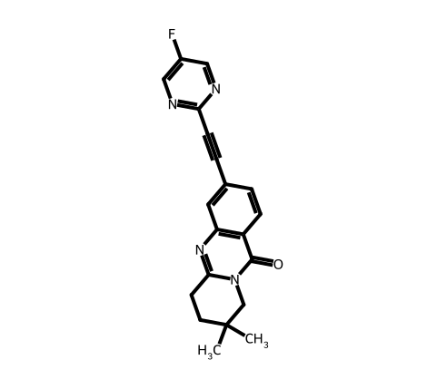 CC1(C)CCc2nc3cc(C#Cc4ncc(F)cn4)ccc3c(=O)n2C1